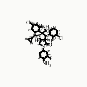 Nc1ccc(N2C[C@H]3[C@@H](C2=O)[C@H](c2cccc(Cl)c2F)[C@]2(C(=O)Nc4cc(Cl)ccc42)N3CC2CC2)cc1F